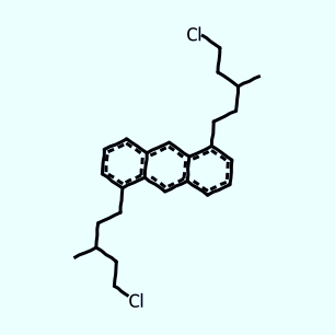 CC(CCCl)CCc1cccc2cc3c(CCC(C)CCCl)cccc3cc12